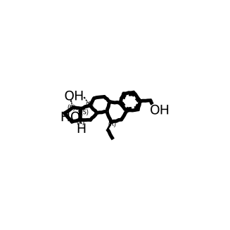 CC[C@@H]1Cc2cc(CO)ccc2C2CC[C@@]3(C)C(C[C@H]4CC[C@H](O)[C@]43O)C21